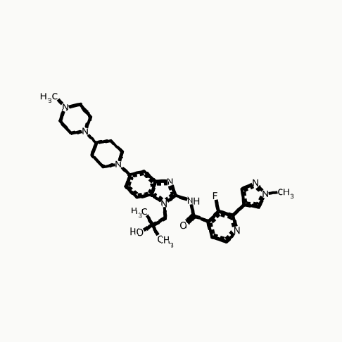 CN1CCN(C2CCN(c3ccc4c(c3)nc(NC(=O)c3ccnc(-c5cnn(C)c5)c3F)n4CC(C)(C)O)CC2)CC1